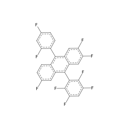 Fc1ccc(-c2c3ccc(F)cc3c(-c3c(F)c(F)cc(F)c3F)c3cc(F)c(F)cc23)c(F)c1